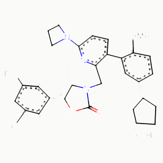 COc1ccc([C@@H]2CC[C@H](C(=O)O)C2)cc1-c1ccc(N2CCC2)nc1CN1C(=O)O[C@H](c2cc(C(F)(F)F)cc(C(F)(F)F)c2)[C@@H]1C